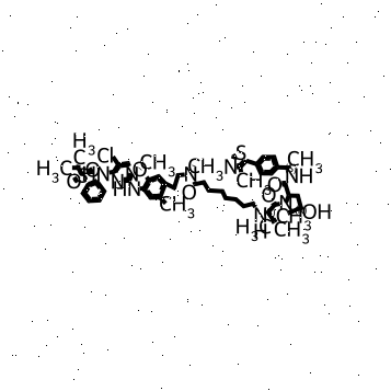 COc1cc(CCN(C)C(=O)CCCCCCCN[C@H](C(=O)N2C[C@H](O)CC2C(=O)N[C@@H](C)c2ccc(-c3scnc3C)cc2)C(C)(C)C)c(C)cc1Nc1ncc(Cl)c(Nc2ccccc2S(=O)(=O)C(C)C)n1